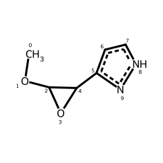 COC1OC1c1cc[nH]n1